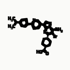 CC(C)c1ccc(-c2ccc(-c3cnn4c(N)c(Br)c([C@H]5CC[C@H](C(=O)O)CC5)nc34)cn2)cc1